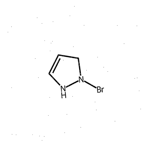 BrN1CC=CN1